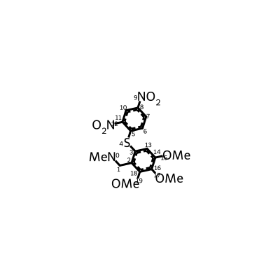 CNCc1c(Sc2ccc([N+](=O)[O-])cc2[N+](=O)[O-])cc(OC)c(OC)c1OC